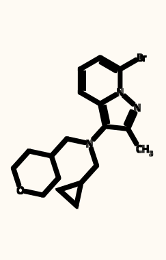 Cc1nn2c(Br)cccc2c1N(CC1CCOCC1)CC1CC1